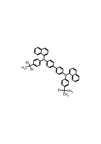 CCC(C)(C)c1ccc(N(c2ccc(-c3ccc(N(c4ccc(C(C)(CC)CC)cc4)c4cccc5ccccc45)cc3)cc2)c2cccc3ccccc23)cc1